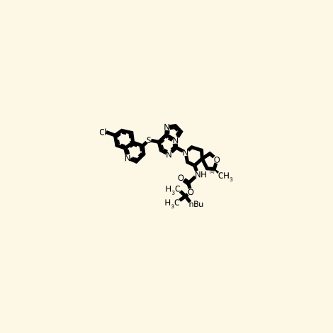 CCCCC(C)(C)OC(=O)NC1CN(c2ncc(Sc3ccnc4cc(Cl)ccc34)c3nccn23)CCC12CO[C@@H](C)C2